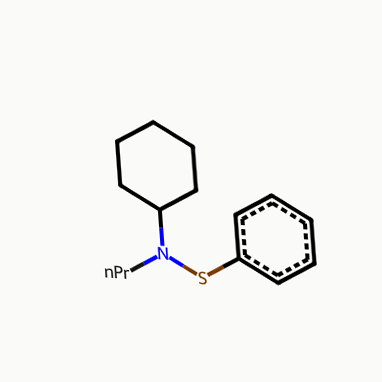 CCCN(Sc1ccccc1)C1CCCCC1